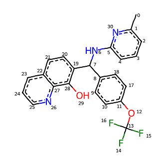 Cc1cccc(NC(c2ccc(OC(F)(F)F)cc2)c2ccc3cccnc3c2O)n1